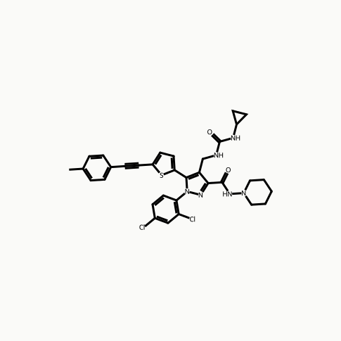 Cc1ccc(C#Cc2ccc(-c3c(CNC(=O)NC4CC4)c(C(=O)NN4CCCCC4)nn3-c3ccc(Cl)cc3Cl)s2)cc1